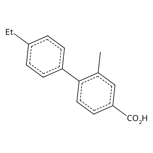 CCc1ccc(-c2ccc(C(=O)O)cc2C)cc1